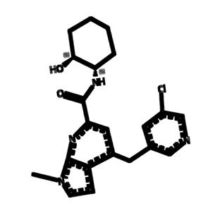 Cn1ccc2c(Cc3cncc(Cl)c3)cc(C(=O)N[C@H]3CCCC[C@@H]3O)nc21